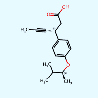 CC#C[C@H](CC(=O)O)c1ccc(O[C@@H](C)C(C)C)cc1